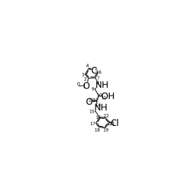 COc1ccccc1NCC(O)C(=O)NCc1cccc(Cl)c1